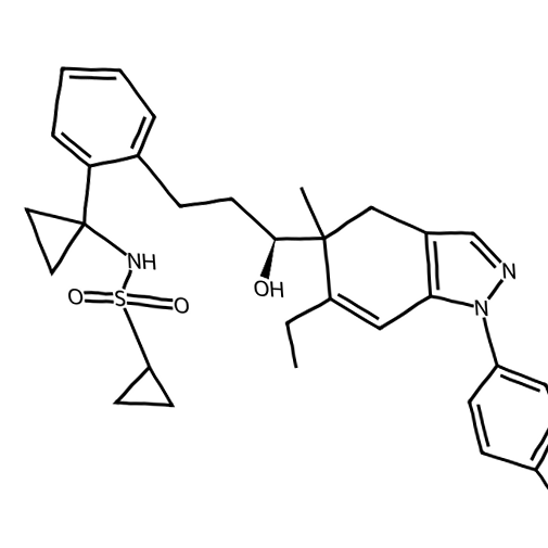 CCC1=Cc2c(cnn2-c2ccc(F)cc2)CC1(C)[C@@H](O)CCc1ccccc1C1(NS(=O)(=O)C2CC2)CC1